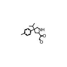 Cc1ccc(C2(C(C)C)CNC(C(=O)C=O)C2)cc1